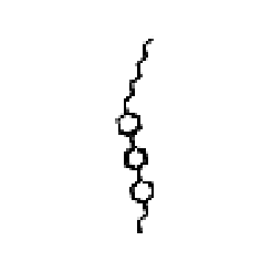 CCCCCCCCC1CC=C(c2ccc(C3CCC(CCC)CC3)cc2)CC1